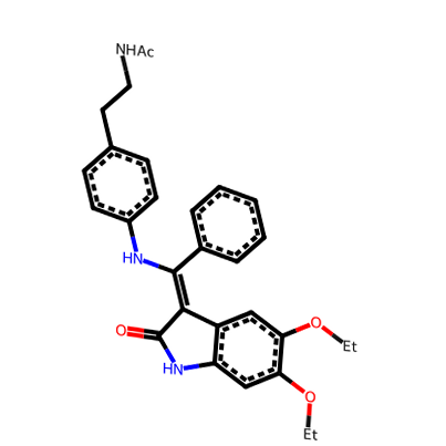 CCOc1cc2c(cc1OCC)/C(=C(/Nc1ccc(CCNC(C)=O)cc1)c1ccccc1)C(=O)N2